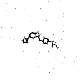 CCNC(=O)Nc1ccc(Cc2nnc3ccc(-c4cccs4)nn23)cc1